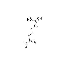 COC(=O)CCCON(O)O